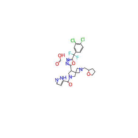 O=C(c1ccn[nH]1)N1CC(c2nnc(C(F)(F)c3ccc(Cl)c(Cl)c3)o2)C2(CN(CC3CCCO3)C2)C1.O=CO